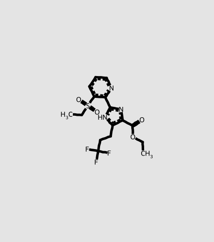 CCOC(=O)c1nc(-c2ncccc2S(=O)(=O)CC)[nH]c1CCC(F)(F)F